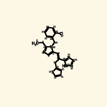 CCc1ncc(/C=C(\Cc2cccs2)c2nnn[nH]2)n1Cc1ccccc1Cl